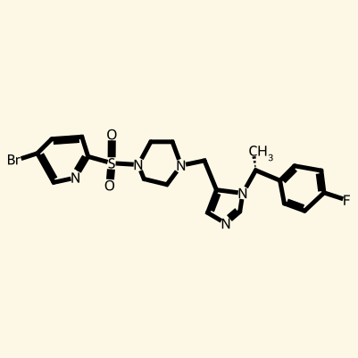 C[C@H](c1ccc(F)cc1)n1cncc1CN1CCN(S(=O)(=O)c2ccc(Br)cn2)CC1